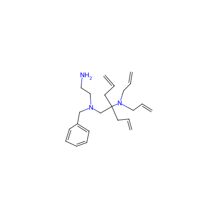 C=CCN(CC=C)C(CC=C)(CC=C)CN(CCN)Cc1ccccc1